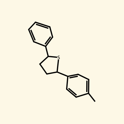 Cc1ccc(C2CCC(c3ccccc3)S2)cc1